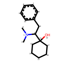 CN(C)C(Cc1cc[c]cc1)C1(O)CCCCC1